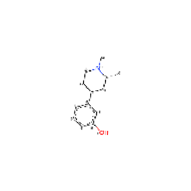 C[C@@H]1CC(c2cccc(O)c2)CCN1C